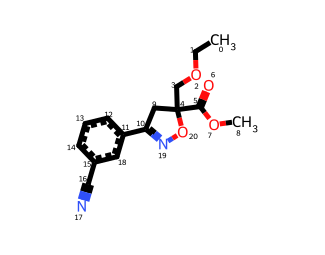 CCOCC1(C(=O)OC)CC(c2cccc(C#N)c2)=NO1